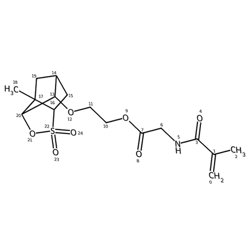 C=C(C)C(=O)NCC(=O)OCCOC1C2CC3C(C)(C2)C1OS3(=O)=O